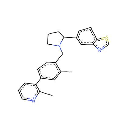 Cc1cc(-c2cccnc2C)ccc1CN1CCCC1c1ccc2scnc2c1